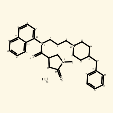 CN1CC(C(=O)N(CCCN2CCC(Cc3ccccc3)CC2)c2cccc3ccccc23)CC1=O.Cl